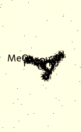 COc1ccc(N2CCN(S(=O)(=O)N3CCCN(CC4CCCCC4)CCCN(S(=O)(=O)c4ccc(N(C)C)cc4)C[C@H](C)C3)CC2)cc1F